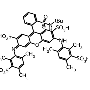 Cc1cc(C)c(S(=O)(=O)O)c(C)c1/N=c1\cc2oc3cc(Nc4c(C)cc(C)c(S(=O)(=O)O)c4C)c(S(=O)(=O)O)cc3c(-c3ccccc3S(=O)(=O)NC(C)(C)C)c-2cc1S(=O)(=O)O